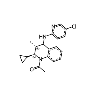 CC(=O)N1c2ccccc2C(Nc2ccc(Cl)cn2)[C@@H](C)[C@@H]1C1CC1